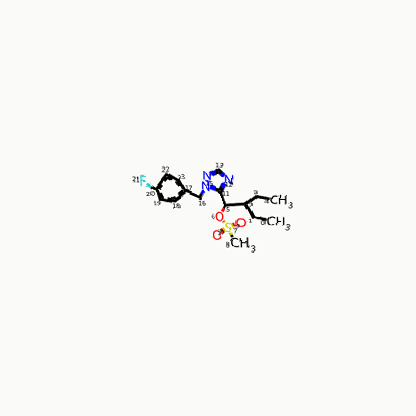 CCC(CC)C(OS(C)(=O)=O)c1ncnn1Cc1ccc(F)cc1